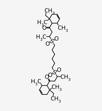 CCC1(C)CC=CC(C)C1C(=O)CC(C)S(=O)(=O)CCCCCCS(=O)(=O)C(C)CC(=O)C1C(C)C=CCC1(C)CC